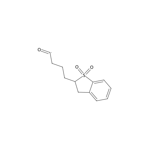 O=[C]CCCC1Cc2ccccc2S1(=O)=O